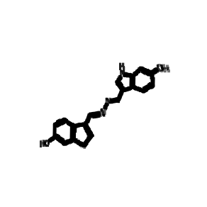 Oc1ccc2c(c1)CC=C2/C=N/N=C/c1c[nH]c2cc(O)ccc12